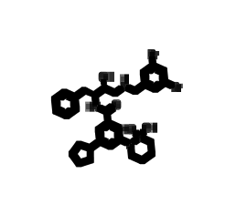 O=C(N[C@@H](Cc1ccccc1)[C@@H](O)CNCc1cc(Br)cc(Br)c1)c1cc(C2CCCC2)cc(N2CCCCS2(O)O)c1